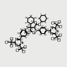 O=C(OC1CCCCC1)C(Sc1ccc(-c2nc(C(Cl)(Cl)Cl)nc(C(Cl)(Cl)Cl)n2)cc1)C(Sc1ccc(-c2nc(C(Cl)(Cl)Cl)nc(C(Cl)(Cl)Cl)n2)cc1)(C(=O)O)C1CCCCC1